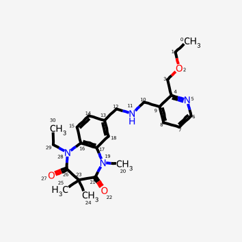 CCOCc1ncccc1CNCc1ccc2c(c1)N(C)C(=O)C(C)(C)C(=O)N2CC